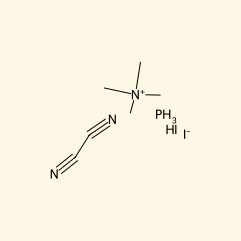 C[N+](C)(C)C.I.N#CC#N.P.[I-]